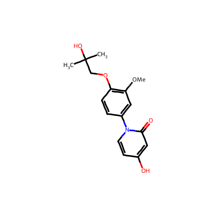 COc1cc(-n2ccc(O)cc2=O)ccc1OCC(C)(C)O